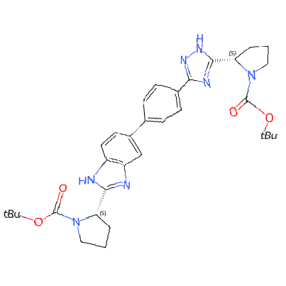 CC(C)(C)OC(=O)N1CCC[C@H]1c1nc(-c2ccc(-c3ccc4[nH]c([C@@H]5CCCN5C(=O)OC(C)(C)C)nc4c3)cc2)n[nH]1